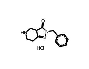 Cl.O=C1C2CNCCC2=NN1Cc1ccccc1